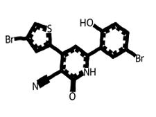 N#Cc1c(-c2cc(Br)cs2)cc(-c2cc(Br)ccc2O)[nH]c1=O